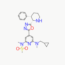 CN(CC1CC1)c1cc(-c2nnc([C@H]3NCCC[C@H]3c3ccccc3)o2)cc(N(C)S(C)(=O)=O)n1